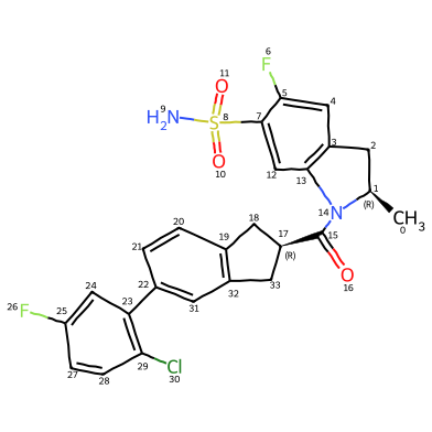 C[C@@H]1Cc2cc(F)c(S(N)(=O)=O)cc2N1C(=O)[C@@H]1Cc2ccc(-c3cc(F)ccc3Cl)cc2C1